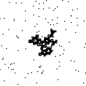 O=C(CN1C(=O)Cc2ccccc21)O[C@@H](Cc1c(Cl)c[n+]([O-])cc1Cl)c1ccc(OC(F)F)c(OCC2CC2)c1